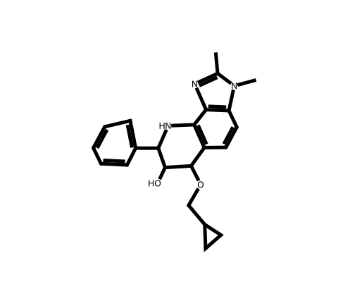 Cc1nc2c3c(ccc2n1C)C(OCC1CC1)C(O)C(c1ccccc1)N3